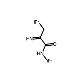 [CH2]C(C)CC(=N)C(=O)NC(C)C